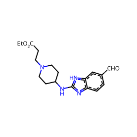 CCOC(=O)CCN1CCC(Nc2nc3ccc(C=O)cc3[nH]2)CC1